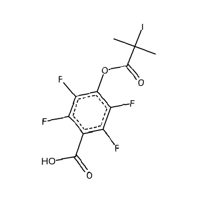 CC(C)(I)C(=O)Oc1c(F)c(F)c(C(=O)O)c(F)c1F